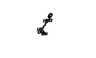 CC(C)(C)OC(=O)NCCCCCNC(=O)C1CC2C=CC1C2